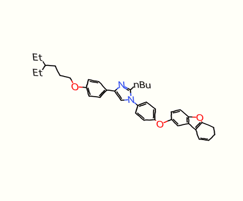 CCCCc1nc(-c2ccc(OCCCC(CC)CC)cc2)cn1-c1ccc(Oc2ccc3oc4c(c3c2)C=CCC4)cc1